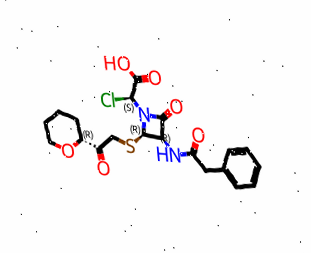 O=C(Cc1ccccc1)N[C@@H]1C(=O)N([C@@H](Cl)C(=O)O)[C@@H]1SCC(=O)[C@H]1CCCCO1